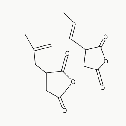 C=C(C)CC1CC(=O)OC1=O.CC=CC1CC(=O)OC1=O